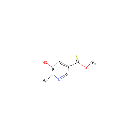 COC(=S)c1cnc(C)c(O)c1